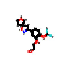 OCCOc1cc(C2=NOC3(CCOC3)C2)ccc1OC(F)F